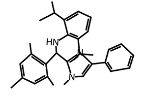 Cc1cc(C)c(C(Nc2c(C(C)C)cccc2C(C)C)c2nc(-c3ccccc3)cn2C)c(C)c1